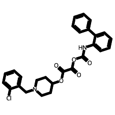 O=C(Nc1ccccc1-c1ccccc1)OC(=O)C(=O)OC1CCN(Cc2ccccc2Cl)CC1